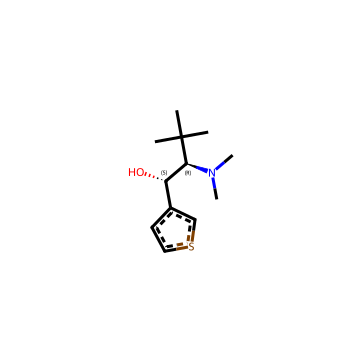 CN(C)[C@@H]([C@@H](O)c1ccsc1)C(C)(C)C